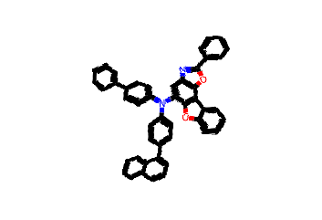 c1ccc(-c2ccc(N(c3ccc(-c4cccc5ccccc45)cc3)c3cc4nc(-c5ccccc5)oc4c4c3oc3ccccc34)cc2)cc1